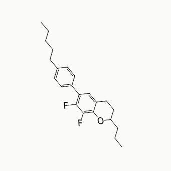 CCCCCc1ccc(-c2cc3c(c(F)c2F)OC(CCC)CC3)cc1